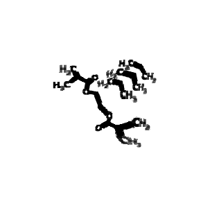 C=C(C)C(=O)OCCOC(=O)C(=C)C.C=CC.C=CC.C=CC